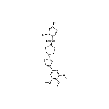 COc1cc(-c2csc(N3CCN(S(=O)(=O)c4ccc(Cl)cc4Cl)CC3)n2)cc(OC)c1OC